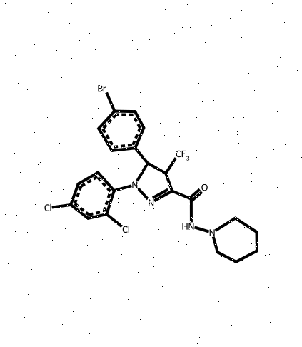 O=C(NN1CCCCC1)C1=NN(c2ccc(Cl)cc2Cl)C(c2ccc(Br)cc2)C1C(F)(F)F